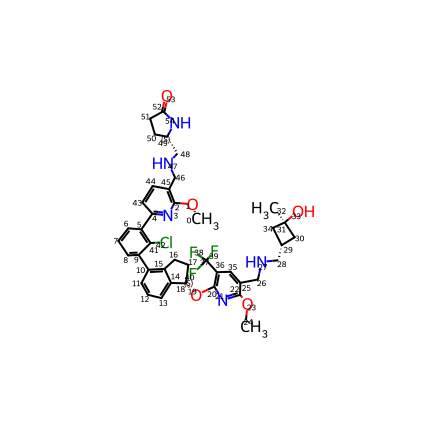 COc1nc(-c2cccc(-c3cccc4c3CC[C@@H]4Oc3nc(OC)c(CNC[C@H]4C[C@](C)(O)C4)cc3C(F)(F)F)c2Cl)ccc1CNC[C@@H]1CCC(=O)N1